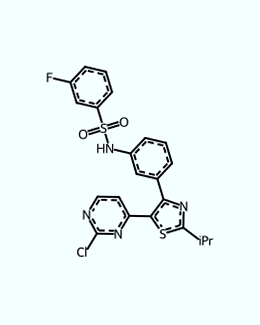 CC(C)c1nc(-c2cccc(NS(=O)(=O)c3cccc(F)c3)c2)c(-c2ccnc(Cl)n2)s1